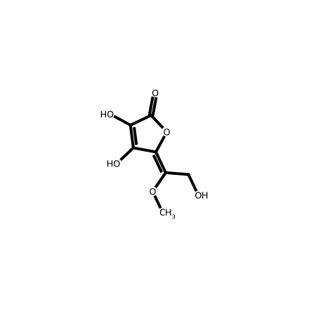 CO/C(CO)=C1/OC(=O)C(O)=C1O